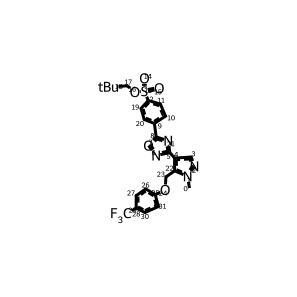 Cn1ncc(-c2noc(-c3ccc(S(=O)(=O)OCC(C)(C)C)cc3)n2)c1COc1ccc(C(F)(F)F)cc1